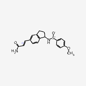 COc1ccc([S+]([O-])NC2CCc3cc(/C=C/C(N)=O)ccc32)cc1